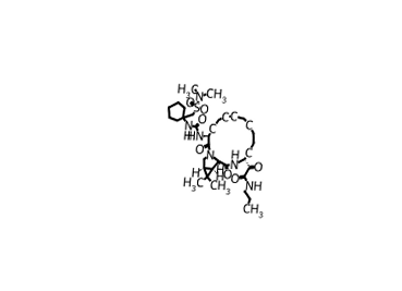 CCCNC(=O)C(=O)[C@H]1CCCCCCCCC[C@H](NC(=O)NC2(CS(=O)(=O)N(C)C)CCCCC2)C(=O)N2C[C@H]3[C@@H]([C@H]2C(=O)N1)C3(C)C